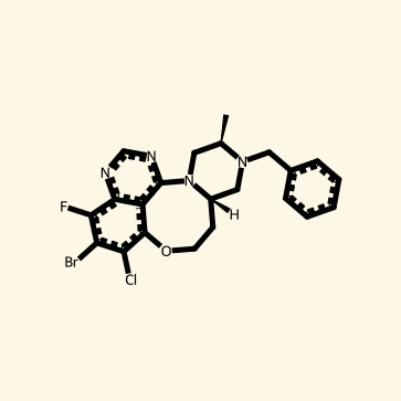 C[C@@H]1CN2c3ncnc4c(F)c(Br)c(Cl)c(c34)OCC[C@H]2CN1Cc1ccccc1